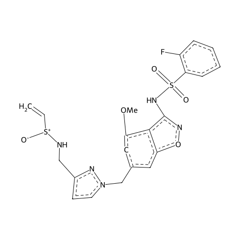 C=C[S+]([O-])NCc1ccn(Cc2cc(OC)c3c(NS(=O)(=O)c4ccccc4F)noc3c2)n1